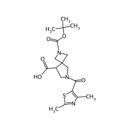 Cc1nc(C)c(C(=O)N2CC(C(=O)O)C3(CN(C(=O)OC(C)(C)C)C3)C2)s1